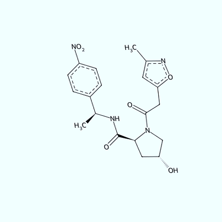 Cc1cc(CC(=O)N2C[C@H](O)C[C@H]2C(=O)N[C@@H](C)c2ccc([N+](=O)[O-])cc2)on1